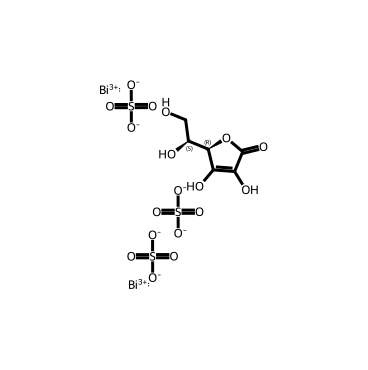 O=C1O[C@H]([C@@H](O)CO)C(O)=C1O.O=S(=O)([O-])[O-].O=S(=O)([O-])[O-].O=S(=O)([O-])[O-].[Bi+3].[Bi+3]